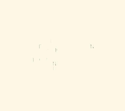 C[C@@H](Nc1ccc(C#N)cc1)C(F)(F)F